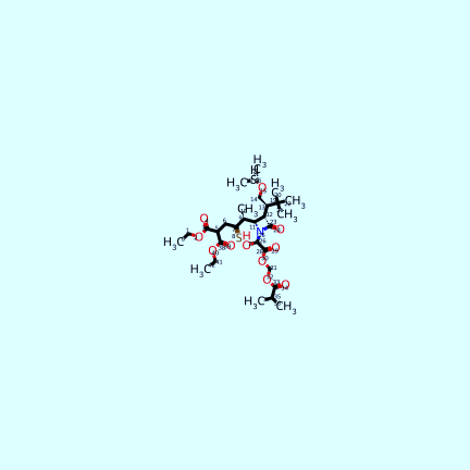 CCOC(=O)C(CC(=S)[C@H](C)[C@@H]1[C@H]([C@@H](CO[SiH](C)C)C(C)(C)C)C(=O)N1C(O)C(=O)OCOC(=O)C(C)C)C(=O)OCC